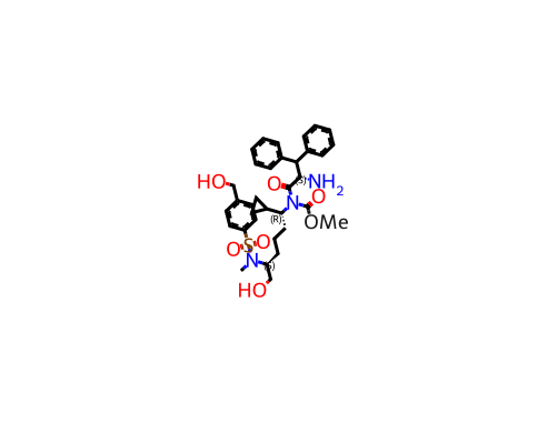 COC(=O)N(C(=O)[C@@H](N)C(c1ccccc1)c1ccccc1)[C@H](CCC[C@@H](CO)N(C)S(=O)(=O)c1ccc(CO)cc1)C1CC1